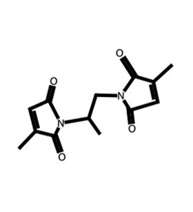 CC1=CC(=O)N(CC(C)N2C(=O)C=C(C)C2=O)C1=O